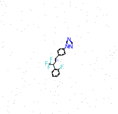 Fc1ccccc1C(/C=C/c1ccc(-n2cncn2)cc1)C(F)(F)F